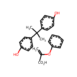 C=C(Oc1ccccc1)C(=O)O.CC(C)(c1ccc(O)cc1)c1ccc(O)cc1